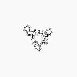 C[C@@H]1[C@H](NC(=O)c2ncccc2O)C(=O)N[C@@H](Cc2cccnc2)[C@@H](O)[C@@H](C)C(=O)NC(C2CCO2)C(=O)N1C